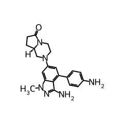 Cn1nc(N)c2c(-c3ccc(N)cc3)cc(N3CCN4C(=O)CC[C@H]4C3)cc21